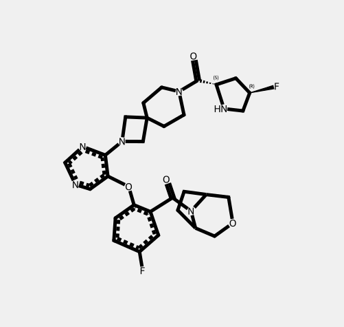 O=C([C@@H]1C[C@@H](F)CN1)N1CCC2(CC1)CN(c1ncncc1Oc1ccc(F)cc1C(=O)N1C3CCC1COC3)C2